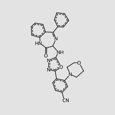 N#Cc1ccc(-c2nnc(NC3N=C(c4ccccc4)c4ccccc4NC3=O)o2)c(N2CCOCC2)c1